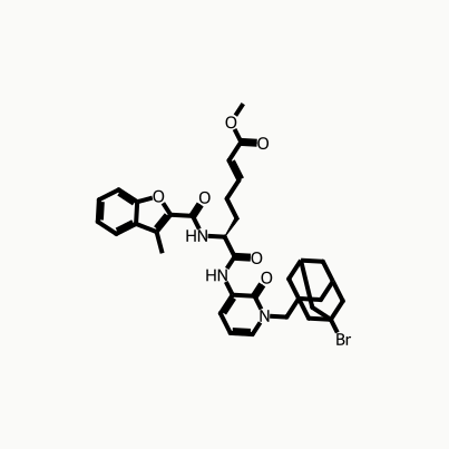 COC(=O)/C=C/CC[C@H](NC(=O)c1oc2ccccc2c1C)C(=O)Nc1cccn(CC23CC4CC(CC(Br)(C4)C2)C3)c1=O